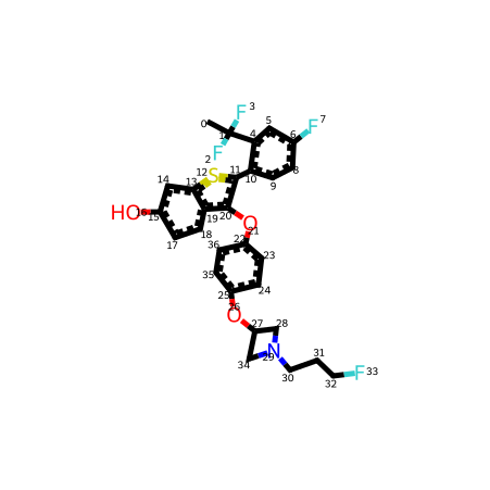 CC(F)(F)c1cc(F)ccc1-c1sc2cc(O)ccc2c1Oc1ccc(OC2CN(CCCF)C2)cc1